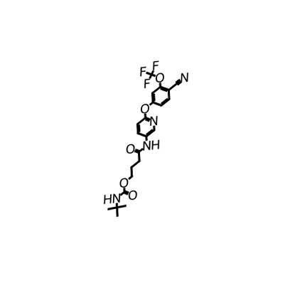 CC(C)(C)NC(=O)OCCCC(=O)Nc1ccc(Oc2ccc(C#N)c(OC(F)(F)F)c2)nc1